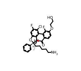 CNC(=O)c1ccc(OCCO)c(F)c1-c1c(Cl)c(F)cc2c1C[C@](c1ccccc1)([C@@H](C)CCCCN)O2